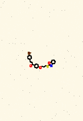 O=C(C=Cc1ccc(Br)cc1)c1ccc(OCCCSc2nc3ccccc3o2)cc1